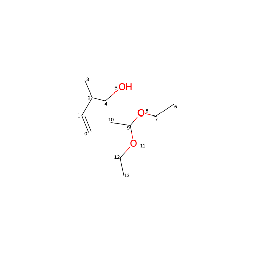 C=CC(C)CO.CCOC(C)OCC